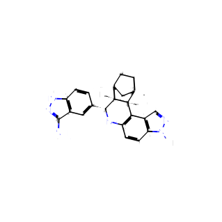 Cn1ncc2c3c(ccc21)N[C@@H](c1ccc2[nH]nc(N)c2c1)[C@@H]1C2CC[C@H](C2)[C@H]31